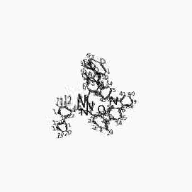 c1ccc(-c2ccc(-c3nc(-c4cccc(-c5ccccc5)c4)nc(-c4cccc5c4oc4c5ccc5c6ccccc6n(-c6ccc(-c7ccccc7)cc6)c54)n3)cc2)cc1